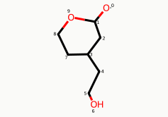 [O]C1CC(CCO)CCO1